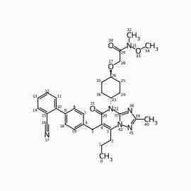 CCCc1c(Cc2ccc(-c3ccccc3C#N)cc2)c(=O)n([C@H]2CC[C@H](OCC(=O)N(C)OC)CC2)c2nc(C)nn12